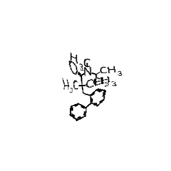 CC(C)N(C)C(=O)C(C)(C)Cc1ccccc1-c1ccccc1